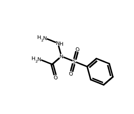 NNN(C(N)=O)S(=O)(=O)c1ccccc1